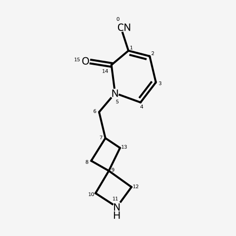 N#Cc1cccn(CC2CC3(CNC3)C2)c1=O